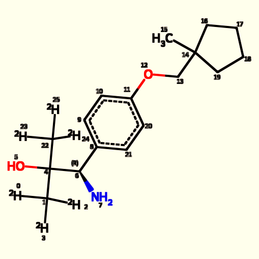 [2H]C([2H])([2H])C(O)([C@H](N)c1ccc(OCC2(C)CCCC2)cc1)C([2H])([2H])[2H]